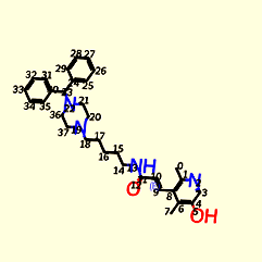 Cc1ncc(O)c(C)c1/C=C/C(=O)NCCCCCN1CCN(C(c2ccccc2)c2ccccc2)CC1